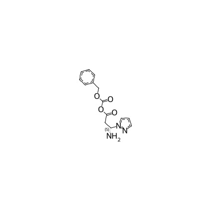 N[C@H](CC(=O)OC(=O)OCc1ccccc1)n1cccn1